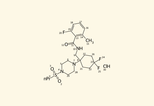 CCCS(=O)(=O)N1CCN(C2(CNC(=O)c3c(C)cccc3F)CCC(F)(F)CC2)CC1.Cl